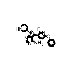 Nc1ncnc2c1c(-c1ccc(Oc3ccccc3)nc1F)nn2[C@H]1CCCNC1